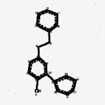 Oc1ccc(CCc2ccccc2)cc1-c1ccccc1